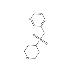 O=S(=O)(Cc1cccnc1)C1CCNCC1